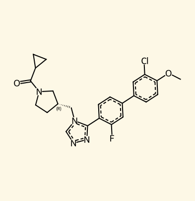 COc1ccc(-c2ccc(-c3nncn3C[C@@H]3CCN(C(=O)C4CC4)C3)c(F)c2)cc1Cl